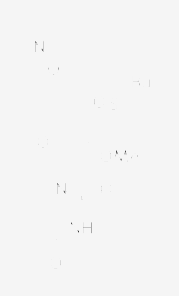 C=NOC[C@H]1O[C@@H](n2ccc(=O)[nH]c2=O)C(OC)C1O[Si](C)(C)C(C)(C)C